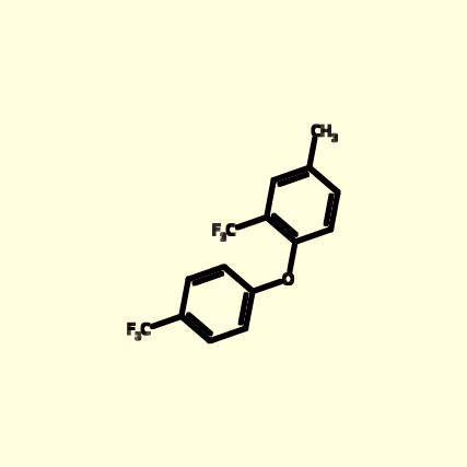 Cc1ccc(Oc2ccc(C(F)(F)F)cc2)c(C(F)(F)F)c1